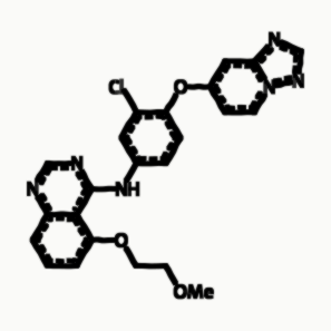 COCCOc1cccc2ncnc(Nc3ccc(Oc4ccn5ncnc5c4)c(Cl)c3)c12